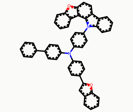 c1ccc(-c2ccc(N(c3ccc(-c4cc5ccccc5o4)cc3)c3ccc(-n4c5ccccc5c5ccc6oc7ccccc7c6c54)cc3)cc2)cc1